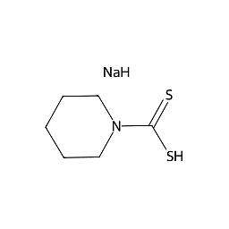 S=C(S)N1CCCCC1.[NaH]